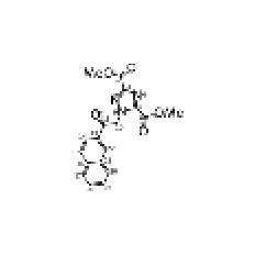 COC(=O)c1nc(C(=O)OC)n(CC(=O)c2ccc3ccccc3c2)n1